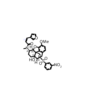 COc1ccc2c3c1O[C@H]1[C@H](N(C)C(=O)/C=C\c4ccoc4)CC[C@@]4(O)[C@@H](C2)N(S(=O)(=O)c2cccc([N+](=O)[O-])c2)CC[C@]314